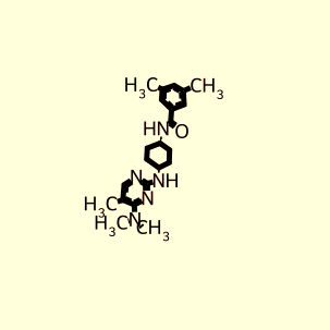 Cc1cc(C)cc(C(=O)N[C@H]2CC[C@@H](Nc3ncc(C)c(N(C)C)n3)CC2)c1